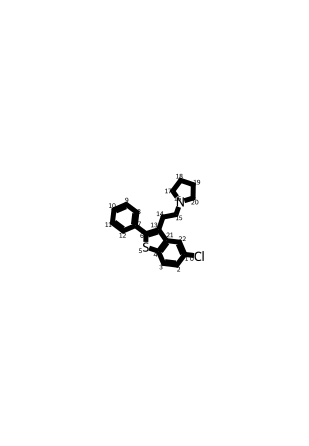 Clc1ccc2sc(-c3ccccc3)c(CCN3CCCC3)c2c1